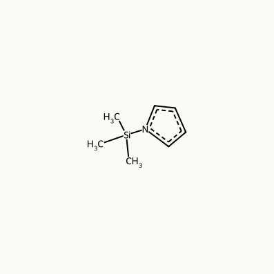 C[Si](C)(C)n1cccc1